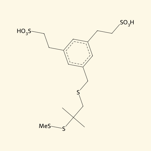 CSSC(C)(C)CSCc1cc(CCS(=O)(=O)O)cc(CCS(=O)(=O)O)c1